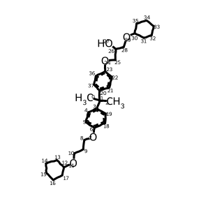 CC(C)(c1ccc(OCCCOC2CCCCC2)cc1)c1ccc(OCC(O)COC2CCCCC2)cc1